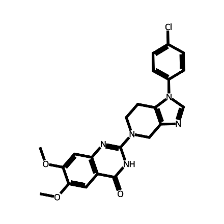 COc1cc2nc(N3CCc4c(ncn4-c4ccc(Cl)cc4)C3)[nH]c(=O)c2cc1OC